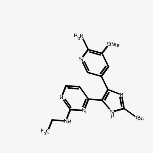 COc1cc(-c2nc(C(C)(C)C)[nH]c2-c2ccnc(NCC(F)(F)F)n2)cnc1N